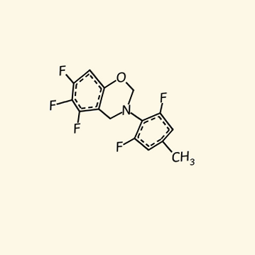 Cc1cc(F)c(N2COc3cc(F)c(F)c(F)c3C2)c(F)c1